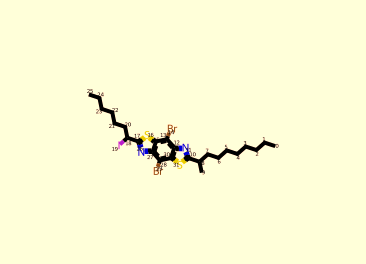 CCCCCCCCC(C)c1nc2c(Br)c3sc(C(I)CCCCCC)nc3c(Br)c2s1